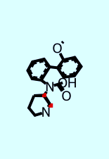 COc1ccccc1-c1ccccc1N(C(=O)O)C1CN2CCC1CC2